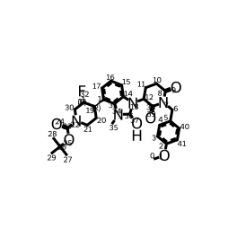 COc1ccc(CN2C(=O)CCC(N3c4cccc([C@H]5CCN(C(=O)OC(C)(C)C)C[C@@H]5F)c4N(C)C3O)C2=O)cc1